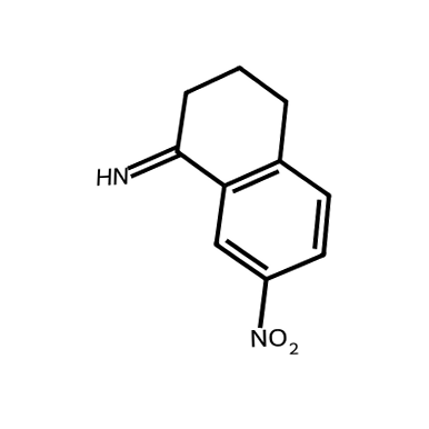 N=C1CCCc2ccc([N+](=O)[O-])cc21